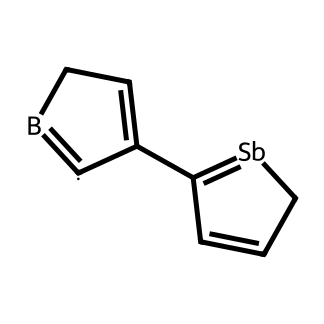 B1=[C]C([C]2=[Sb][CH2]C=C2)=CC1